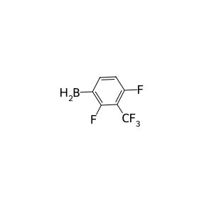 Bc1ccc(F)c(C(F)(F)F)c1F